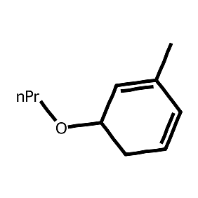 CCCOC1C=C(C)C=CC1